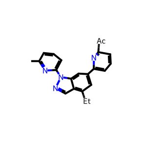 CCc1cc(-c2cccc(C(C)=O)n2)cc2c1cnn2-c1cccc(C)n1